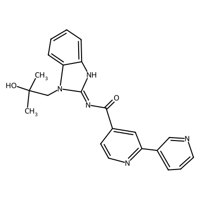 CC(C)(O)Cn1/c(=N/C(=O)c2ccnc(-c3cccnc3)c2)[nH]c2ccccc21